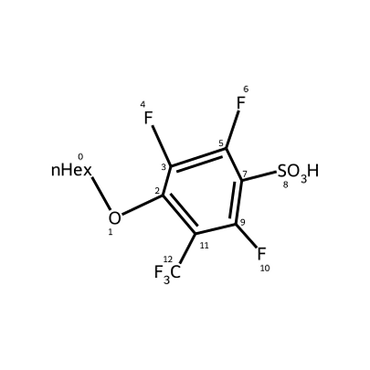 CCCCCCOc1c(F)c(F)c(S(=O)(=O)O)c(F)c1C(F)(F)F